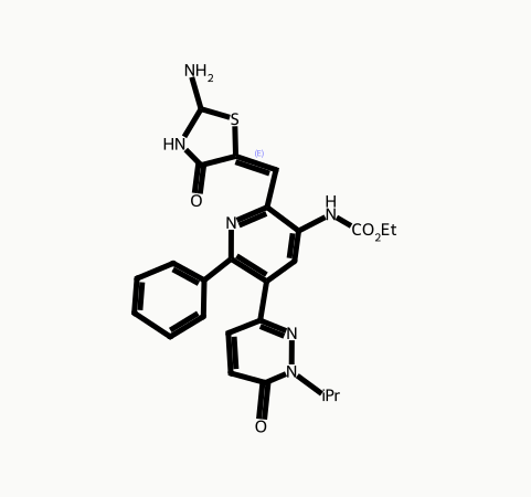 CCOC(=O)Nc1cc(-c2ccc(=O)n(C(C)C)n2)c(-c2ccccc2)nc1/C=C1/SC(N)NC1=O